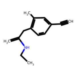 C#Cc1ccc(CC(=C)NCC)c(C)c1